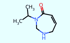 CC(C)N1CNCC=CC1=O